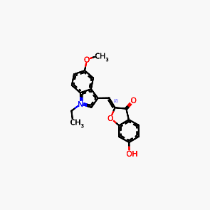 CCn1cc(/C=C2\Oc3cc(O)ccc3C2=O)c2cc(OC)ccc21